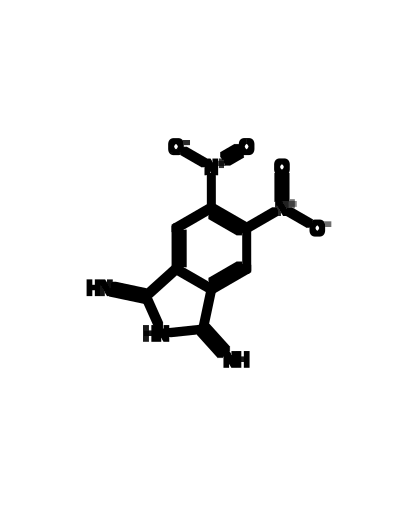 N=C1NC(=N)c2cc([N+](=O)[O-])c([N+](=O)[O-])cc21